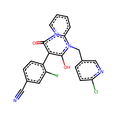 N#Cc1ccc(-c2c(O)n(Cc3ccc(Cl)nc3)c3cccc[n+]3c2=O)c(F)c1